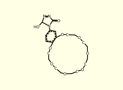 O=C1N=NC(O)N1c1ccc2c(c1)OCCOCCOCCOCCOCCOCCO2